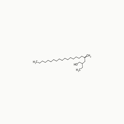 C=C(CCCCCCCCCCCCCCCCC)CC(CC)CO